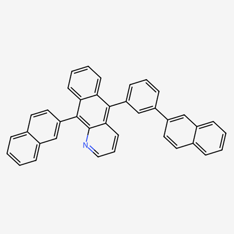 c1cc(-c2ccc3ccccc3c2)cc(-c2c3ccccc3c(-c3ccc4ccccc4c3)c3ncccc23)c1